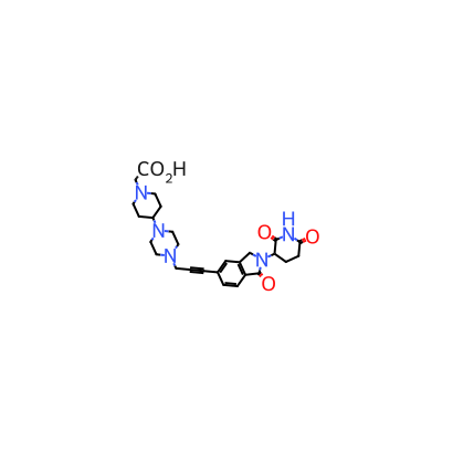 O=C(O)CN1CCC(N2CCN(CC#Cc3ccc4c(c3)CN(C3CCC(=O)NC3=O)C4=O)CC2)CC1